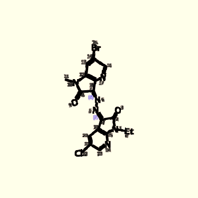 CCN1C(=O)/C(=N\N=C2/C(=O)N(C)c3cc(Br)cnc32)c2cc(Cl)cnc21